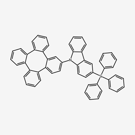 c1ccc([Si](c2ccccc2)(c2ccccc2)c2ccc3c(c2)c2ccccc2n3-c2ccc3c(c2)-c2ccccc2-c2ccccc2-c2ccccc2-3)cc1